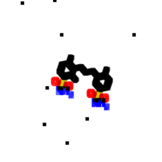 Cc1ccc(S(N)(=O)=O)cc1CCCc1c(C)ccc(S(N)(=O)=O)c1C